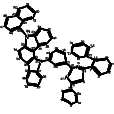 c1ccc(-c2cc(-c3ccccc3-c3ccccc3)nc(-c3cccc(-n4c5ccccc5c5ccc6c(c7ccccc7n6-c6cccc7ccccc67)c54)c3)n2)cc1